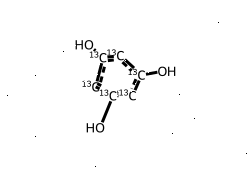 O[13c]1[13cH][13c](O)[13cH][13c](O)[13cH]1